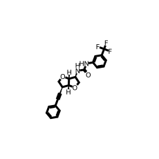 O=C(Nc1cccc(C(F)(F)F)c1)N[C@H]1CO[C@H]2[C@@H]1OC[C@@H]2C#Cc1ccccc1